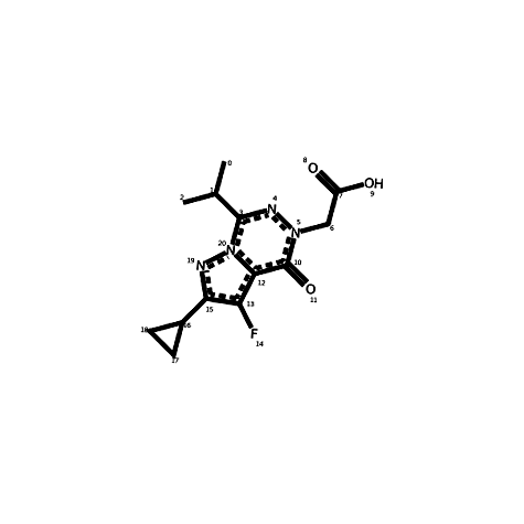 CC(C)c1nn(CC(=O)O)c(=O)c2c(F)c(C3CC3)nn12